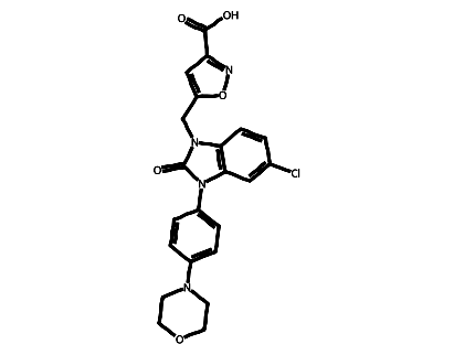 O=C(O)c1cc(Cn2c(=O)n(-c3ccc(N4CCOCC4)cc3)c3cc(Cl)ccc32)on1